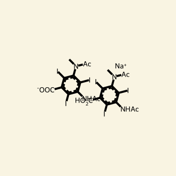 CC(=O)Nc1c(I)c(C(=O)O)c(I)c(N(C)C(C)=O)c1I.CC(=O)Nc1c(I)c(C(=O)[O-])c(I)c(N(C)C(C)=O)c1I.[Na+]